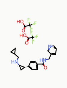 O=C(NCc1cccnc1)c1ccc([C@@H]2C[C@H]2NCC2CC2)cc1.O=C(O)C(F)(F)F.O=C(O)C(F)(F)F